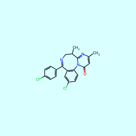 Cc1cc(=O)n2c(n1)C(C)CN=C(c1ccc(Cl)cc1)c1cc(Cl)ccc1-2